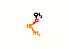 COPP